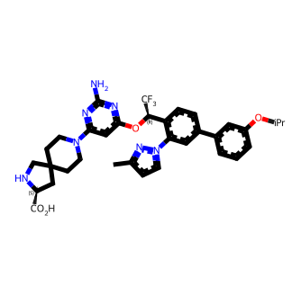 Cc1ccn(-c2cc(-c3cccc(OC(C)C)c3)ccc2[C@@H](Oc2cc(N3CCC4(CC3)CN[C@H](C(=O)O)C4)nc(N)n2)C(F)(F)F)n1